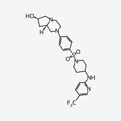 O=S(=O)(c1ccc(N2CCN3C[C@H](O)C[C@H]3C2)cc1)N1CCC(Nc2ccc(C(F)(F)F)cn2)CC1